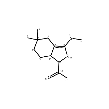 CSC1=C2CC(C)(C)CCC2C(C(C)=O)S1